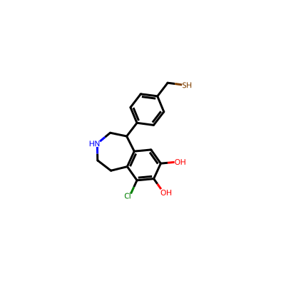 Oc1cc2c(c(Cl)c1O)CCNCC2c1ccc(CS)cc1